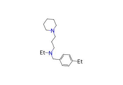 CCc1ccc(CN(CC)CCCN2CCCCC2)cc1